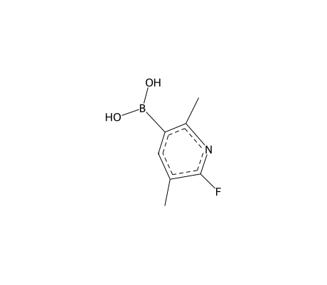 Cc1cc(B(O)O)c(C)nc1F